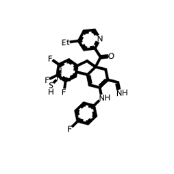 CCc1ccnc(C(=O)C2(Cc3cc(F)c(F)c(F)c3)CC(C=N)=C(Nc3ccc(F)cc3)C=C2CCNS)c1